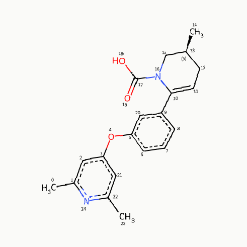 Cc1cc(Oc2cccc(C3=CC[C@H](C)CN3C(=O)O)c2)cc(C)n1